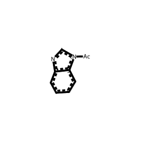 CC(=O)n1[c]nc2ccccc21